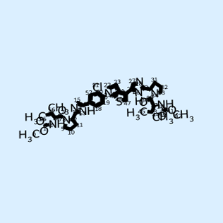 COC(=O)N[C@H](C(=O)N1CCCC1c1ncc(-c2ccc(-n3ccc4c(-c5cnc(C6CCCN6C(=O)[C@@H](NC(=O)OC)C(C)C)[nH]5)csc43)c(Cl)c2)[nH]1)C(C)C